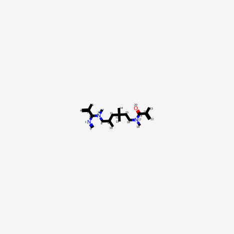 C=NC(C(=C)C)N(C)CC(C)CC(C)(C)CCN(C)C(=O)C(=C)C